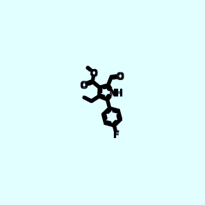 CCc1c(-c2ccc(F)cc2)[nH]c(C=O)c1C(=O)OC